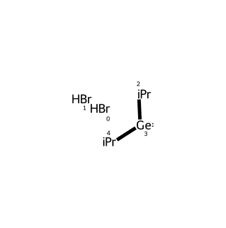 Br.Br.C[CH](C)[Ge][CH](C)C